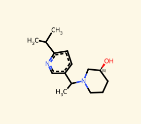 CC(C)c1ccc(C(C)N2CCC[C@H](O)C2)cn1